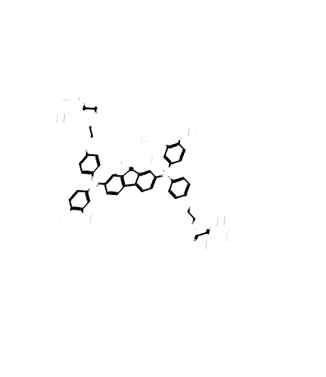 C=C(C)C(=C)OCCOc1ccc(N(c2ccc(C)c(C)c2)c2ccc3c(c2)C(C)(C)c2cc(N(c4ccc(OCCOC(=C)C(=C)C)cc4)c4ccc(C)c(C)c4)ccc2-3)cc1